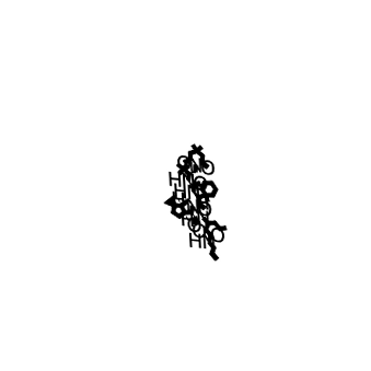 C=CCNC(=O)C(=O)C(CCC)NC(=O)[C@@H]1[C@H]2CCC3(CC3)[C@H]2CN1C(=O)[C@@H](NC(=O)N[C@H](CN1C(=O)CC(C)(C)CC1=O)C(C)(C)C)C1(C)CCCCC1